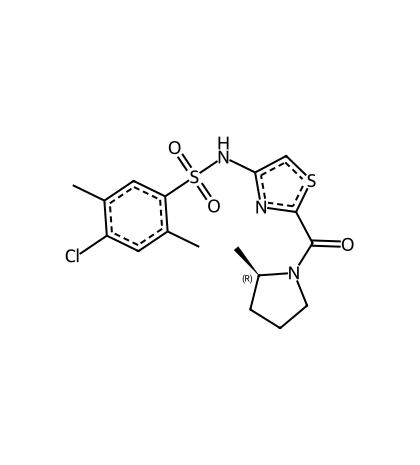 Cc1cc(S(=O)(=O)Nc2csc(C(=O)N3CCC[C@H]3C)n2)c(C)cc1Cl